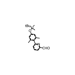 Cc1cc(O[Si](C)(C)C(C)(C)C)cc(C)c1-c1cccc(C=O)n1